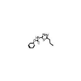 CCCc1nnc(NC(=O)Oc2ccccc2)s1